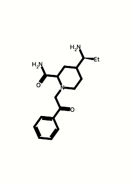 CC[C@H](N)C1CCN(CC(=O)c2ccccc2)C(C(N)=O)C1